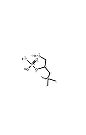 CCCCCCCCC(C[N+](C)(C)C)OP(=O)([O-])O